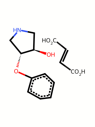 O=C(O)C=CC(=O)O.O[C@@H]1CNC[C@H]1Oc1ccccc1